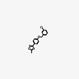 Cc1nc(-c2ccc(OCc3cccc(Cl)c3)cc2)no1